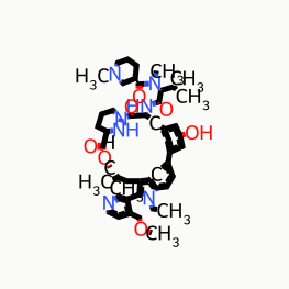 CCn1c(-c2cnccc2COC)c2c3cc(ccc31)-c1cc(O)cc(c1)C[C@H](NC(=O)C(C(C)C)N(C)C(=O)[C@@H]1CCCN(C)C1)C(=O)N1CCC[C@H](N1)C(=O)OCC(C)(C)C2